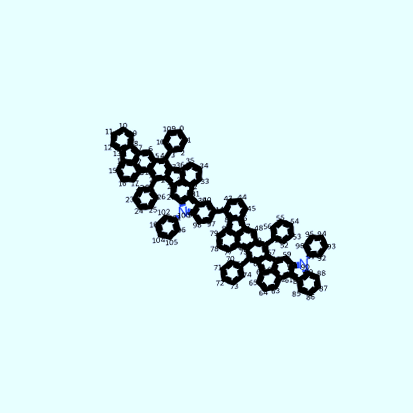 c1ccc(-c2c3cc4c5ccccc5c5cccc(c3c(-c3ccccc3)c3c6cc7c(c8cccc(c23)c68)c2cc(-c3cccc6c8cc9c(-c%10ccccc%10)c%10c%11cc%12c(c%13cccc(c%10c(-c%10ccccc%10)c9c9cccc(c36)c89)c%11%13)c3ccccc3n%12-c3ccccc3)ccc2n7-c2ccccc2)c54)cc1